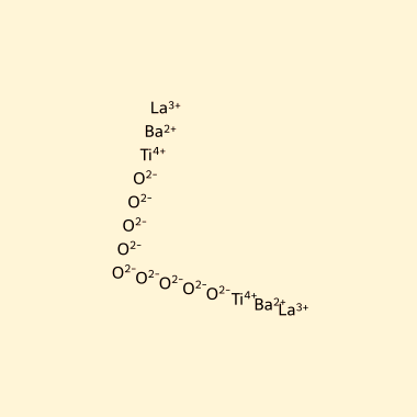 [Ba+2].[Ba+2].[La+3].[La+3].[O-2].[O-2].[O-2].[O-2].[O-2].[O-2].[O-2].[O-2].[O-2].[Ti+4].[Ti+4]